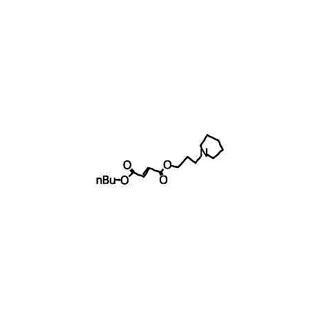 CCCCOC(=O)/C=C/C(=O)OCCCN1CCCCC1